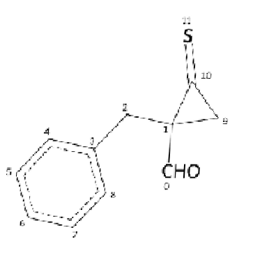 O=CC1(Cc2ccccc2)CC1=S